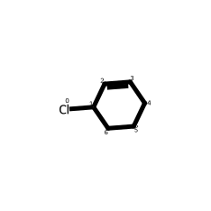 ClC1C=CC[CH]C1